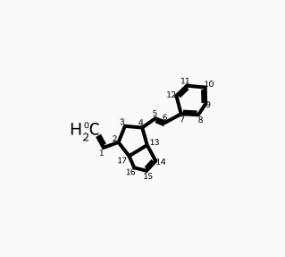 C=CC1CC(C=Cc2ccccc2)C2C=CCC12